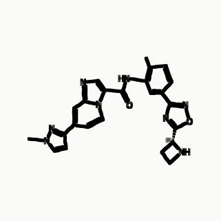 Cc1ccc(-c2noc([C@H]3CCN3)n2)cc1NC(=O)c1cnc2cc(-c3ccn(C)n3)ccn12